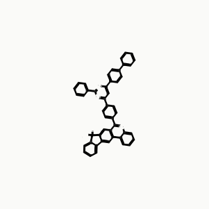 CC1(C)c2ccccc2-c2cc3c(cc21)c(-c1ccc(-c2cc(-c4ccc(-c5ccccc5)cc4)nc(-c4ccccc4)n2)cc1)nc1ccccc13